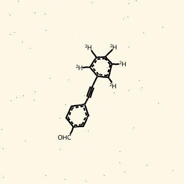 [2H]c1c([2H])c([2H])c(C#Cc2ccc(C=O)cc2)c([2H])c1[2H]